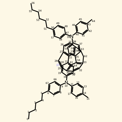 CCCCCCc1ccc(N(c2ccc(C)cc2)c2ccc(-c3cc4ccc3/C=C\c3ccc(c(-c5ccc(N(c6ccc(C)cc6)c6ccc(CCCCCC)cc6)cc5)c3)CC4)cc2)cc1